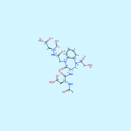 CC(=O)N[C@@H](CC(=O)O)C(=O)N[C@H]1CN(C(=O)CO)c2ccccc2N(CC(=O)N[C@H](C=O)CC(=O)O)C1=O